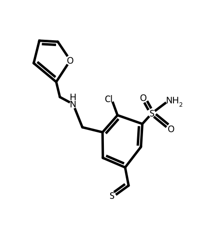 NS(=O)(=O)c1cc(C=S)cc(CNCc2ccco2)c1Cl